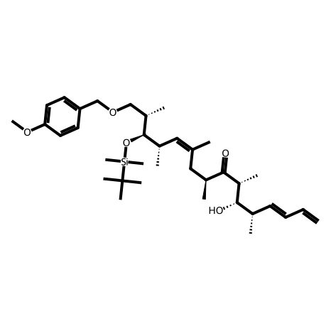 C=CC=C[C@H](C)[C@H](O)[C@@H](C)C(=O)[C@@H](C)CC(C)=C[C@H](C)[C@@H](O[Si](C)(C)C(C)(C)C)[C@@H](C)COCc1ccc(OC)cc1